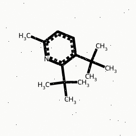 Cc1ccc(C(C)(C)C)c(C(C)(C)C)n1